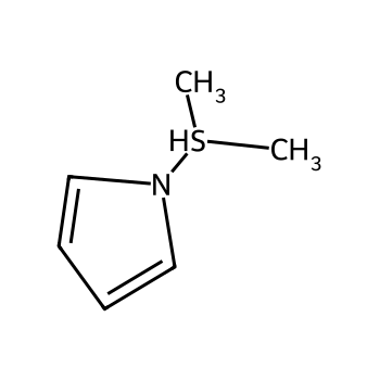 C[SH](C)n1cccc1